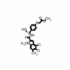 COC(=O)CSc1ccc([C@@H](CO)NC(=O)c2cc3c(Cl)c(Cl)c(C)cc3n2C)cc1